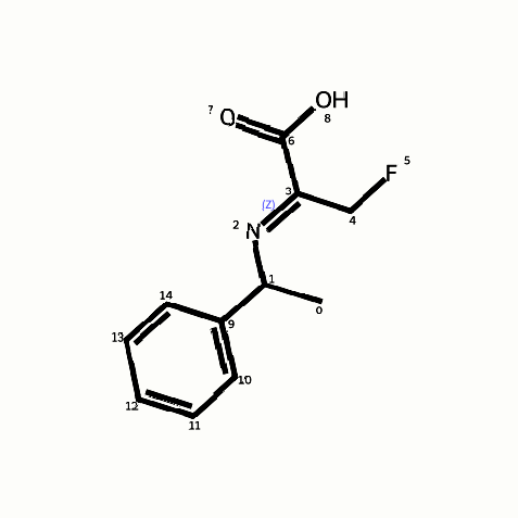 CC(/N=C(\CF)C(=O)O)c1ccccc1